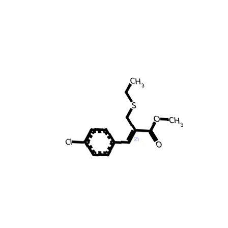 CCSC/C(=C\c1ccc(Cl)cc1)C(=O)OC